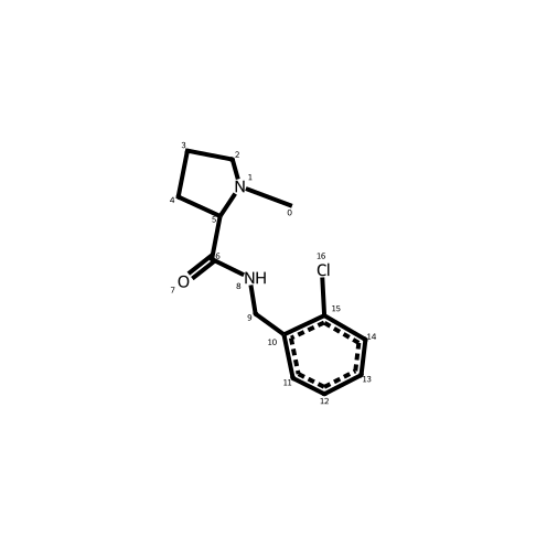 CN1CCCC1C(=O)NCc1ccccc1Cl